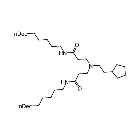 CCCCCCCCCCCCCCCNC(=O)CCN(CCC(=O)NCCCCCCCCCCCCCCC)CCC1CCCC1